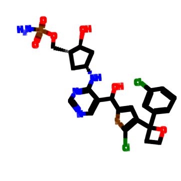 NS(=O)(=O)OC[C@H]1C[C@@H](Nc2ncncc2C(O)c2cc(C3(c4cccc(Cl)c4)CCO3)c(Cl)s2)C[C@@H]1O